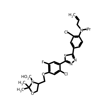 C=CCN(c1ccc(-c2nnc(-c3cc(F)c(OCC4COC(C)(C)N4C(=O)O)cc3Cl)s2)cc1Cl)C(C)C